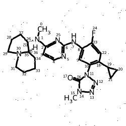 CN(c1ccnc(Nc2cc(-n3nnn(C)c3=O)c(C3CC3)cc2F)n1)[C@H]1CCCN2CCCC[C@H]12